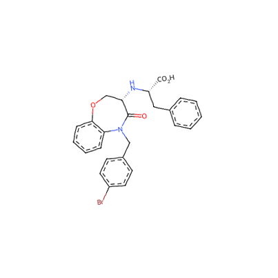 O=C(O)[C@H](Cc1ccccc1)N[C@H]1COc2ccccc2N(Cc2ccc(Br)cc2)C1=O